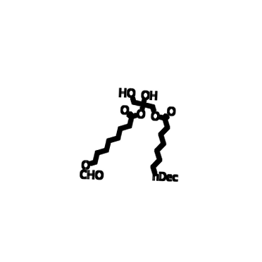 CCCCCCCCCCCCCCCCC(=O)OCC(O)(CO)OC(=O)CCCCCCCOC=O